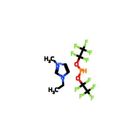 CCn1cc[n+](C)c1.FC(F)(F)C(F)(F)OPOC(F)(F)C(F)(F)F